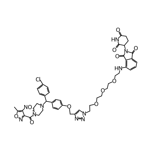 Cc1onc(C(=O)N2CCN(C(c3ccc(Cl)cc3)c3ccc(OCc4cn(CCOCCOCCOCCNc5cccc6c5C(=O)N(C5CCC(=O)NC5=O)C6=O)nn4)cc3)CC2)c1[N+](=O)[O-]